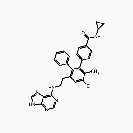 Cc1c(Cl)cc(CCNc2ncnc3[nH]cnc23)c(-c2ccccc2)c1-c1ccc(C(=O)NC2CC2)cc1